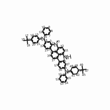 CN1c2cc(N(c3ccccc3)c3ccc(C(C)(C)C)cc3)ccc2-c2ccc3c4c(ccc1c24)Nc1cc(N(C2=CCC(C(C)(C)C)C=C2)c2ccccc2)ccc1-3